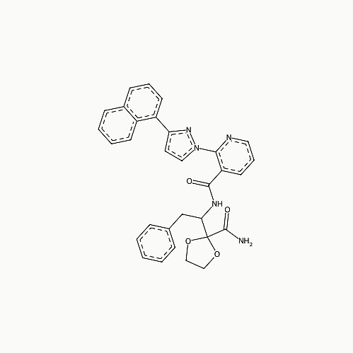 NC(=O)C1(C(Cc2ccccc2)NC(=O)c2cccnc2-n2ccc(-c3cccc4ccccc34)n2)OCCO1